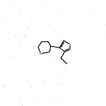 CCc1cs[c]c1C1CCCOC1